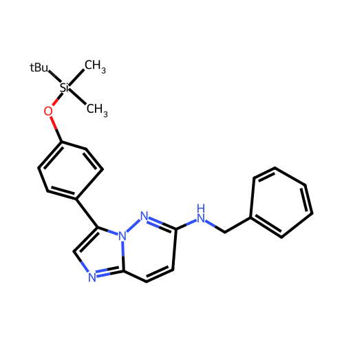 CC(C)(C)[Si](C)(C)Oc1ccc(-c2cnc3ccc(NCc4ccccc4)nn23)cc1